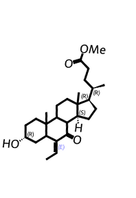 C/C=C1/C(=O)C2C(CCC3(C)[C@@H]([C@H](C)CCC(=O)OC)CC[C@@H]23)C2(C)CC[C@@H](O)CC12